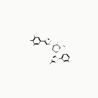 Cc1nc([C@@H]2O[C@H](CO)[C@H](O)[C@H](n3cc(-c4cc(F)c(F)c(F)c4)nn3)[C@H]2C)n(-c2cccc(Cl)c2)n1